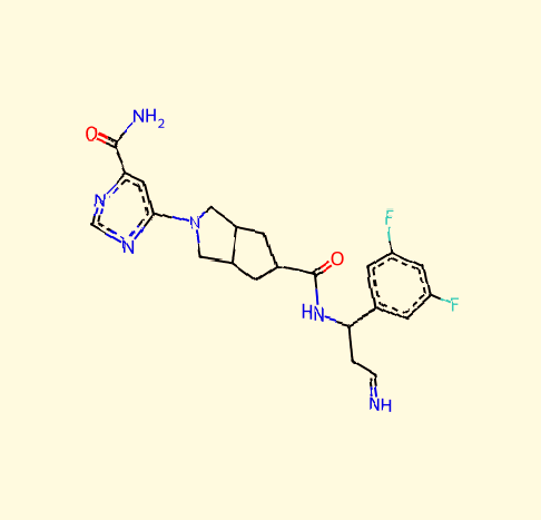 N=CCC(NC(=O)C1CC2CN(c3cc(C(N)=O)ncn3)CC2C1)c1cc(F)cc(F)c1